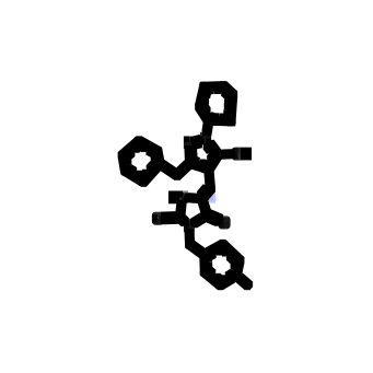 Cc1ccc(CN2C(=O)N/C(=C\c3c(Cc4ccccc4)nn(-c4ccccc4)c3O)C2=O)cc1